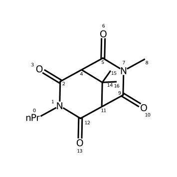 CCCN1C(=O)C2C(=O)N(C)C(=O)C(C1=O)C2(C)C